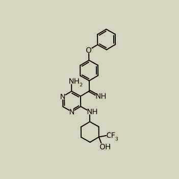 N=C(c1ccc(Oc2ccccc2)cc1)c1c(N)ncnc1NC1CCCC(O)(C(F)(F)F)C1